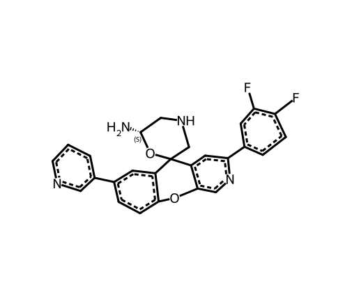 N[C@@H]1CNCC2(O1)c1cc(-c3cccnc3)ccc1Oc1cnc(-c3ccc(F)c(F)c3)cc12